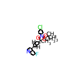 CC(C(=O)N(C(=O)OC(C)(C)C)c1ccc(Cl)cc1)[C@H]1C[C@H]2C[C@@H](c3ccnc4ccc(F)cc34)C[C@H]2C1